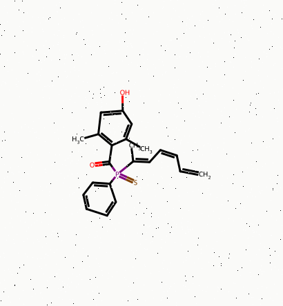 C=C/C=C\C=C(/C)P(=S)(C(=O)c1c(C)cc(O)cc1C)c1ccccc1